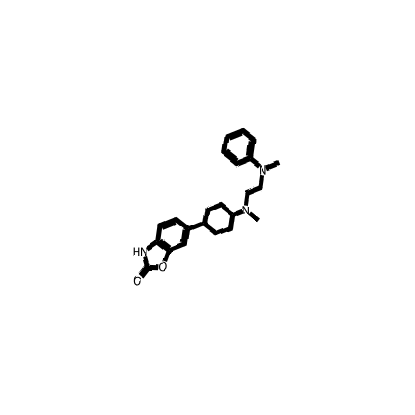 CN(CCN(C)C1CCC(c2ccc3[nH]c(=O)oc3c2)CC1)c1ccccc1